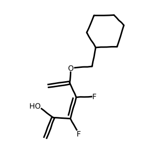 C=C(O)/C(F)=C(/F)C(=C)OCC1CCCCC1